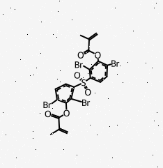 C=C(C)C(=O)Oc1c(Br)ccc(S(=O)(=O)c2ccc(Br)c(OC(=O)C(=C)C)c2Br)c1Br